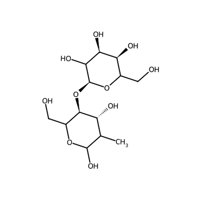 CC1C(O)OC(CO)[C@@H](O[C@@H]2OC(CO)[C@H](O)[C@H](O)C2O)[C@@H]1O